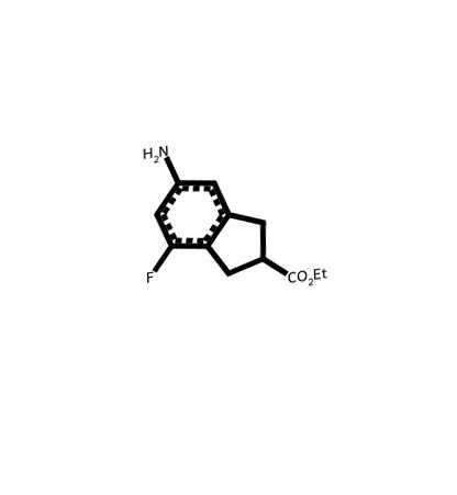 CCOC(=O)C1Cc2cc(N)cc(F)c2C1